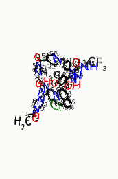 C=CC(=O)N1CCN(c2nc(OCCN3CCN(C(=O)C4CCN(Cc5ccc(-n6c(C(=O)NCC(F)(F)F)nnc6-c6cc(C)c(O)cc6O)cc5)CC4)CC3)nc3c2CCN(c2cccc4cccc(Cl)c24)C3)CC1